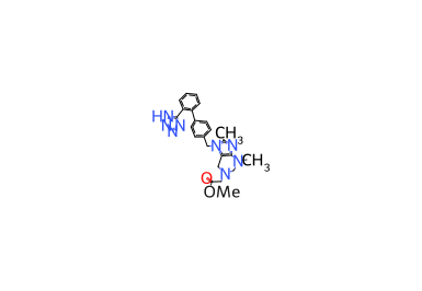 COC(=O)CN1Cc2c(nc(C)n2Cc2ccc(-c3ccccc3-c3nnn[nH]3)cc2)N(C)C1